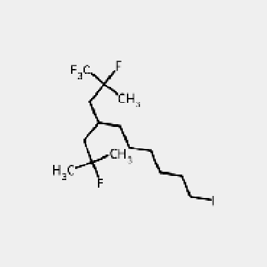 CC(C)(F)CC(CCCCCCI)CC(C)(F)C(F)(F)F